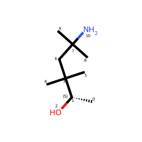 C[C@H](O)C(C)(C)CC(C)(C)N